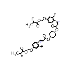 C=C(F)C(=O)OCOc1ccc(/C=C\C(=O)OC2CCC(OC(=O)/C=C/c3ccc(OCOC(=O)C(=C)F)cc3F)CC2)c(F)c1